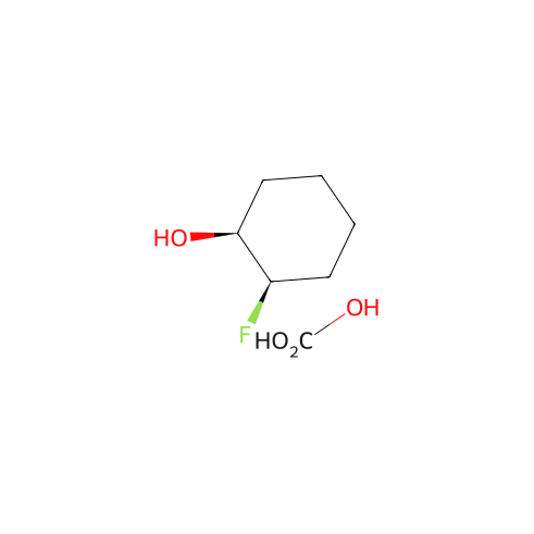 O=C(O)O.O[C@H]1CCCC[C@H]1F